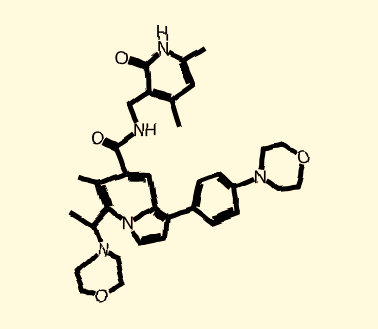 Cc1cc(C)c(CNC(=O)c2cc3c(-c4ccc(N5CCOCC5)cc4)ccn3c(C(C)N3CCOCC3)c2C)c(=O)[nH]1